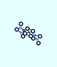 N#Cc1ccccc1N(c1ccccc1)c1ccc2cc3c(cc2c1)C1(c2ccccc2-c2ccccc21)c1c-3c2ccccc2c2cc(N(c3ccccc3)c3ccccc3C#N)ccc12